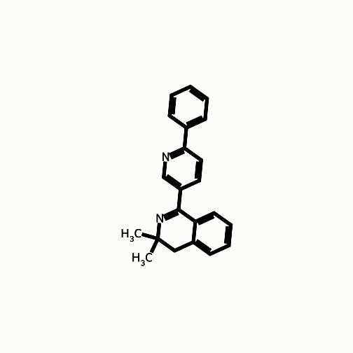 CC1(C)Cc2ccccc2C(c2ccc(-c3ccccc3)nc2)=N1